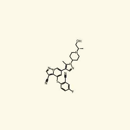 Cc1c(-c2cc(Sc3ccc(F)cc3C#N)c3c(C#N)cnn3c2)cnn1C1CCN([C@H](C)CO)CC1